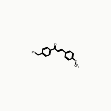 CC(C)Cc1ccc(C(=O)C=Cc2ccc(OC(F)(F)F)cc2)cc1